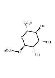 CCCCCCCCO[C@H]1O[C@H](C(=O)O)[C@@H](O)[C@H](O)[C@@H]1O